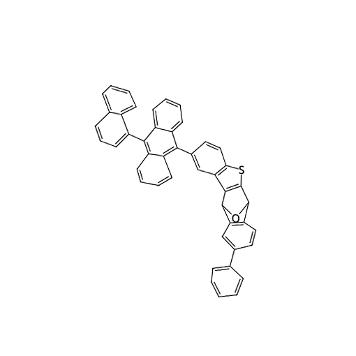 c1ccc(-c2ccc3c(c2)C2OC3c3sc4ccc(-c5c6ccccc6c(-c6cccc7ccccc67)c6ccccc56)cc4c32)cc1